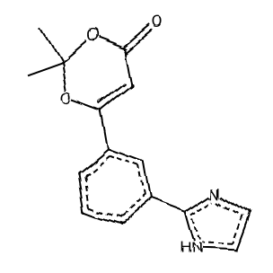 CC1(C)OC(=O)C=C(c2cccc(-c3ncc[nH]3)c2)O1